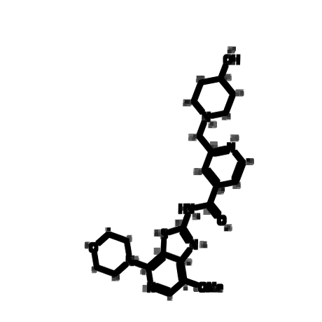 COc1cnc(N2CCOCC2)c2sc(NC(=O)c3ccnc(CN4CCC(O)CC4)c3)nc12